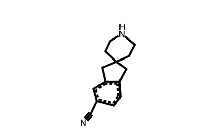 N#Cc1ccc2c(c1)CC1(CCNCC1)C2